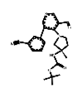 CC(C)(C)OC(=O)N[C@@]1(C)CCN(c2c(C=O)cncc2-c2cccc(C#N)c2)C1